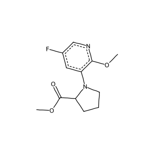 COC(=O)C1CCCN1c1cc(F)cnc1OC